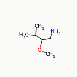 COC(CN)C(C)C